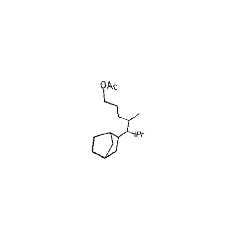 CC(=O)OCCCC(C)C(C(C)C)C1CC2CCC1C2